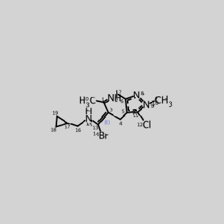 CC(=N)/C(Cc1c(I)nn(C)c1Cl)=C(/Br)NCC1CC1